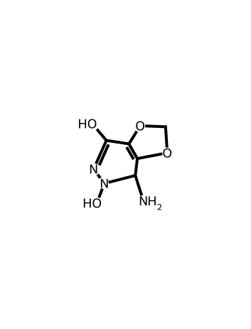 NC1C2=C(OCO2)C(O)=NN1O